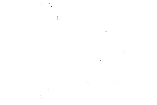 C#N.C#N.CCn1c(=O)n(C(F)F)c2cc(C=NN)ccc21